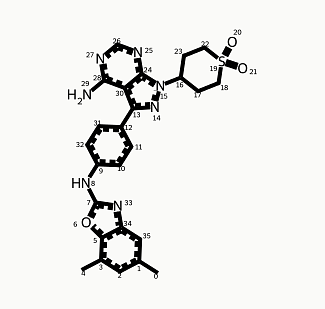 Cc1cc(C)c2oc(Nc3ccc(-c4nn(C5CCS(=O)(=O)CC5)c5ncnc(N)c45)cc3)nc2c1